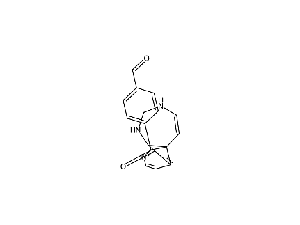 O=Cc1ccc(C2=NC=CC3=CC(=O)C4NCNC=CC324)cc1